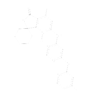 Cc1ccnc(Nc2cc(Nc3cc(C)c4c([n+]3[O-])C3(CCCCC3)NC4=O)ncn2)c1